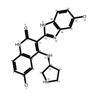 O=c1[nH]c2ccc(Cl)cc2c(N[C@H]2CCNC2)c1-c1nc2cc(Cl)ccc2[nH]1